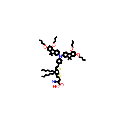 CCCCCCC1(CCCCCC)c2cc(/C=C(\C#N)C(=O)O)sc2-c2sc(-c3ccc(N(c4ccc5c(c4)C(C)(C)c4cc(OCCCC)cc(OCCCC)c4-5)c4ccc5c(c4)C(C)(C)c4cc(OCCCC)cc(OCCCC)c4-5)cc3)cc21